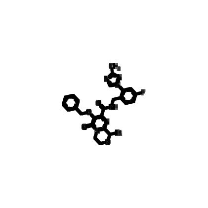 CCC1OCCn2c1nc(C(=O)NCc1ccc(F)cc1-n1cnc(C)n1)c(OCc1ccccc1)c2=O